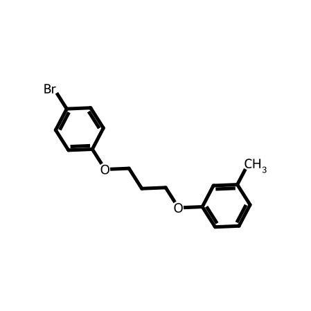 Cc1cccc(OCCCOc2ccc(Br)cc2)c1